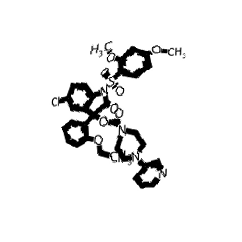 CCOc1ccccc1C1(OC(=O)N2CCN(c3cccnc3)CC2)C(=O)N(S(=O)(=O)c2ccc(OC)cc2OC)c2ccc(Cl)cc21